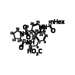 CCCCCCC(=O)Nc1ccc(CC(NC(=O)C2CCCN2S(=O)(=O)c2ccccc2)C(=O)O)cc1